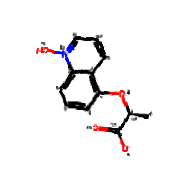 C[C@H](Oc1cccc2c1ccc[n+]2O)C(=O)[O-]